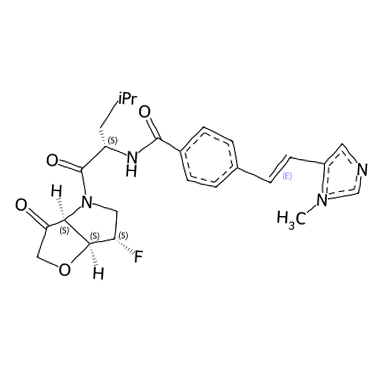 CC(C)C[C@H](NC(=O)c1ccc(/C=C/c2cncn2C)cc1)C(=O)N1C[C@H](F)[C@H]2OCC(=O)[C@H]21